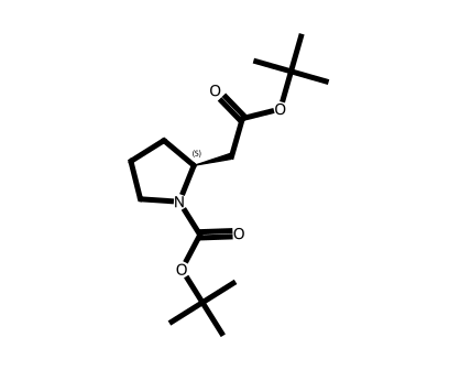 CC(C)(C)OC(=O)C[C@@H]1CCCN1C(=O)OC(C)(C)C